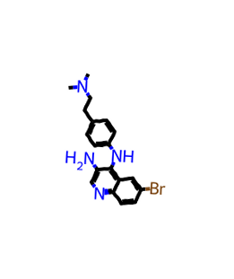 CN(C)CCc1ccc(Nc2c(N)cnc3ccc(Br)cc23)cc1